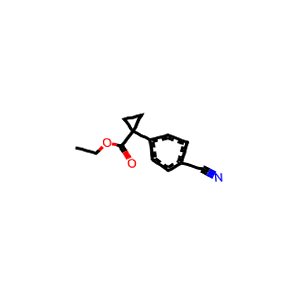 CCOC(=O)C1(c2ccc(C#N)cc2)CC1